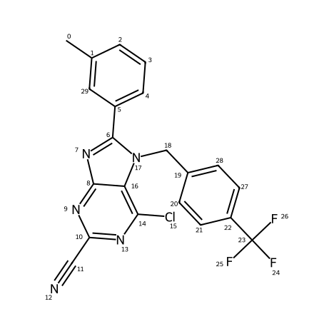 Cc1cccc(-c2nc3nc(C#N)nc(Cl)c3n2Cc2ccc(C(F)(F)F)cc2)c1